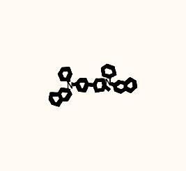 CC1(N(c2ccc3ccccc3c2)C2CC=CCC2)CCC(c2ccc(N(c3ccccc3)c3ccc4ccccc4c3)cc2)CC1